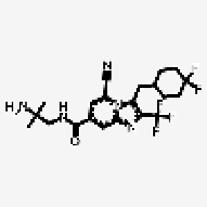 CC(C)(N)CNC(=O)c1cc(C#N)n2c(CC3CCC(F)(F)CC3)c(C(F)(F)F)nc2c1